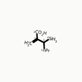 C=C(C(=O)O)C([SiH3])CCC